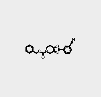 N#Cc1cccc(-c2nc3c(o2)CCN(C(=O)OCc2ccccc2)C3)c1